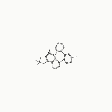 Cc1ccc2c(c1)-c1ccccc1-c1c3c-2cccc3c(CC(C)(C)C)c[n+]1C